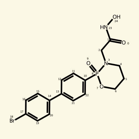 O=C(CN1CCCOP1(=O)c1ccc(-c2ccc(Br)cc2)cc1)NO